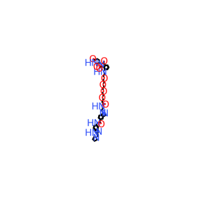 C[C@H]1CCCN1Cc1nc2cc(NC(=O)c3ccc4c(cnn4CCNC(=O)CCOCCOCCOCCOCCNc4cccc5c4C(=O)N(C4CCC(=O)NC4=O)C5=O)c3)ccc2[nH]1